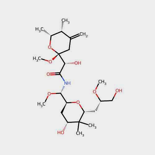 C=C1C[C@](OC)([C@H](O)C(=O)N[C@@H](OC)[C@@H]2C[C@@H](O)C(C)(C)[C@@H](C[C@@H](CO)OC)O2)O[C@H](C)[C@@H]1C